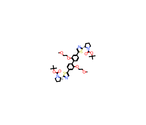 COCCOc1cc(-c2cnc([C@@H]3CCCN3C(=O)OC(C)(C)C)s2)ccc1-c1ccc(-c2cnc([C@@H]3CCCN3C(=O)OC(C)(C)C)s2)cc1OCCOC